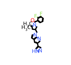 CC1(C)CC(Cn2ccc3cc(-c4cn[nH]c4)cnc32)CN1C(=O)c1cccc(F)c1F